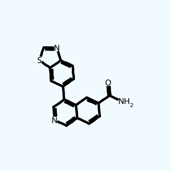 NC(=O)c1ccc2cncc(-c3ccc4ncsc4c3)c2c1